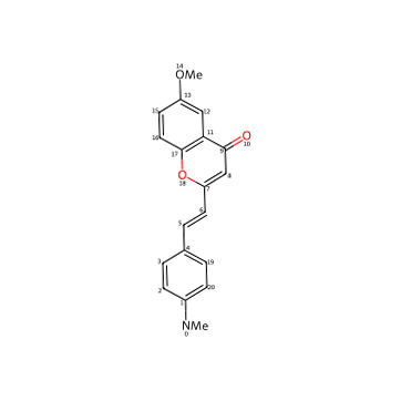 CNc1ccc(C=Cc2cc(=O)c3cc(OC)ccc3o2)cc1